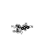 CC1(C)O[C@@H](CO[Si](C)(C)C(C)(C)C)[C@@H](COc2ccc3c(c2)C(C)(C)c2[nH]c4cc(C#N)ccc4c2C3=O)O1